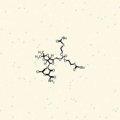 CC1(C)O[C@@H]2[C@H](O1)[C@@H](COP(=O)(OCCSC(=O)C(C)(C)C)OCCSC(=O)C(C)(C)C)O[C@H]2n1cc(Cl)nc(C(N)=O)c1=O